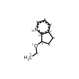 CCOC1CCc2cccnc21